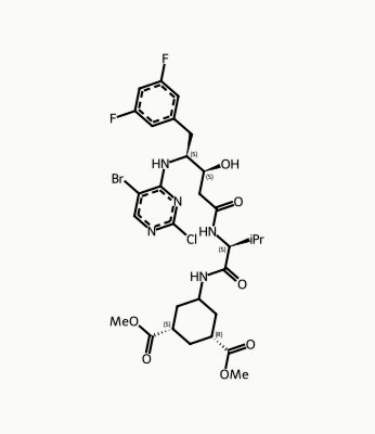 COC(=O)[C@@H]1CC(NC(=O)[C@@H](NC(=O)C[C@H](O)[C@H](Cc2cc(F)cc(F)c2)Nc2nc(Cl)ncc2Br)C(C)C)C[C@H](C(=O)OC)C1